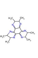 CC1N=c2c3c(c4c(c2=NC1C)=NC(C)C(C)N=4)=NC(C)C(C)N=3